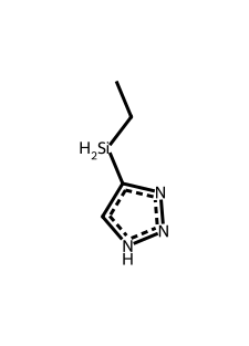 CC[SiH2]c1c[nH]nn1